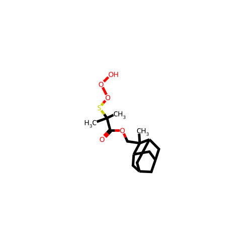 CC(C)(SOOO)C(=O)OCC1(C)C2CC3CC(C2)CC1C3